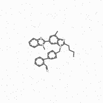 CCCCc1nc2c(C)cc(-c3nc4ccccc4n3C)cc2n1Cc1ccc(-c2ccccc2C=O)cc1